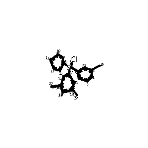 Cc1cccc([Si](Cl)(c2ccccc2)c2cc(C)cc(C)c2)c1